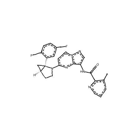 Cc1cccnc1C(=O)Nc1cnn2ccc(N3CC[C@H]4C[C@]43c3cc(F)ccc3F)nc12